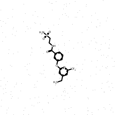 NCc1cc(Oc2cccc(C(=O)NCCS(N)(=O)=O)c2)nc(C(F)(F)F)c1